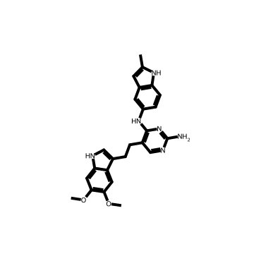 COc1cc2[nH]cc(CCc3cnc(N)nc3Nc3ccc4[nH]c(C)cc4c3)c2cc1OC